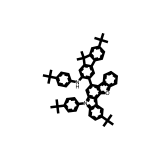 CC(C)(C)c1ccc(Nc2cc3c(cc2-c2cc4c(c5cc(C(C)(C)C)ccc5n4-c4ccc(C(C)(C)C)cc4)c4oc5ccccc5c24)-c2ccc(C(C)(C)C)cc2C3(C)C)cc1